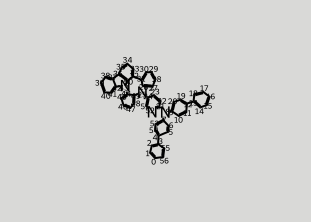 c1ccc(-c2ccc(N(c3ccc(-c4ccccc4)cc3)c3ccc(-n4c5ccccc5c5cccc6c7ccccc7n(c7ccccc74)c56)cn3)cc2)cc1